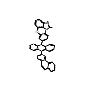 Cc1nc2cccc3c2n1-c1ccc(-c2c4ccccc4c(-c4ccc5ccc6ccccc6c5c4)c4ccccc24)cc1O3